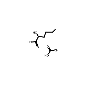 CCCCC(O)C(=O)O.O=C(O)O